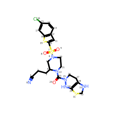 N#CCCC1CN(S(=O)(=O)c2cc3ccc(Cl)cc3s2)CCN1C(=O)N1CCC2=C(N1)SCN2